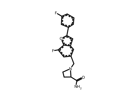 NC(=O)C1CCN1Cc1cc(F)c2oc(-c3cccc(F)c3)cc2c1